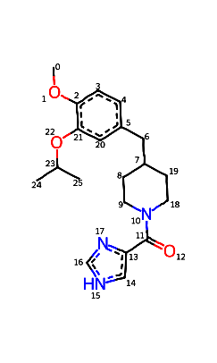 COc1ccc(CC2CCN(C(=O)c3c[nH]cn3)CC2)cc1OC(C)C